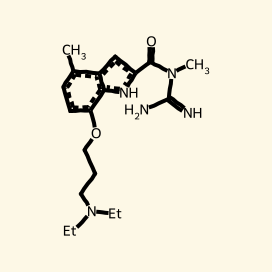 CCN(CC)CCCOc1ccc(C)c2cc(C(=O)N(C)C(=N)N)[nH]c12